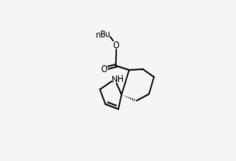 CCCCOC(=O)C1CCCC[C@@]12C=CCN2